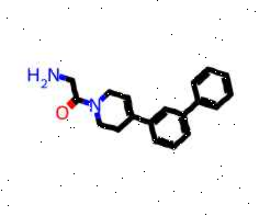 NCC(=O)N1CC=C(c2cccc(-c3ccccc3)c2)CC1